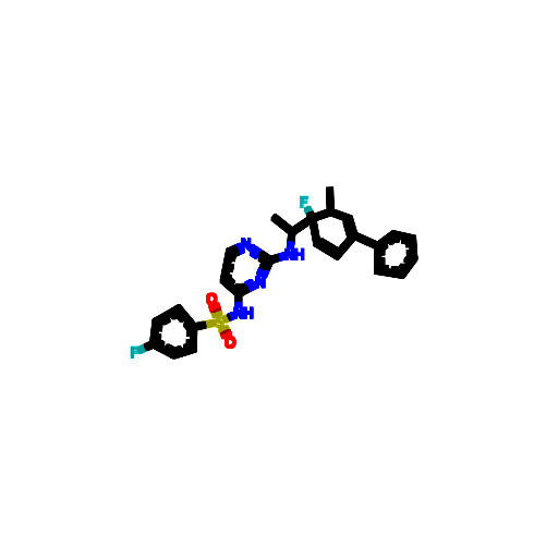 CC1C=C(c2ccccc2)C=CC1(F)C(C)Nc1nccc(NS(=O)(=O)c2ccc(F)cc2)n1